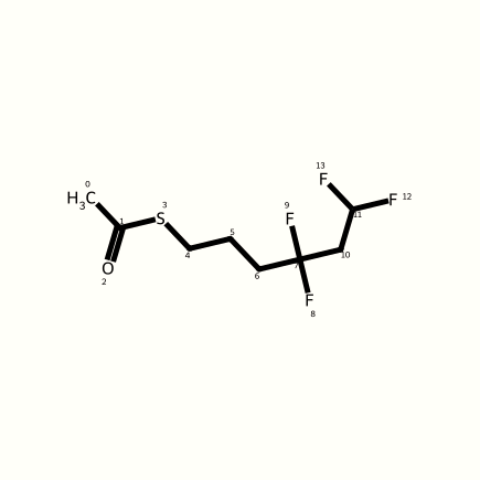 CC(=O)SCCCC(F)(F)CC(F)F